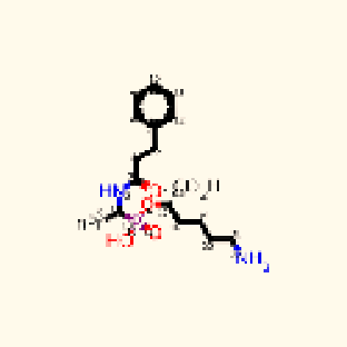 CCCC(NC(=O)CCc1ccccc1)P(=O)(O)O[C@@H](CCCCN)C(=O)O